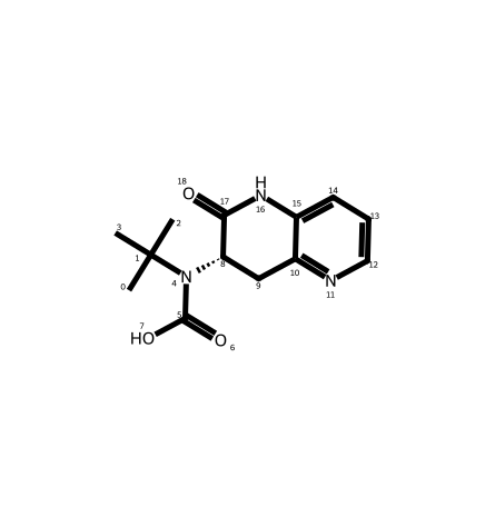 CC(C)(C)N(C(=O)O)[C@H]1Cc2ncccc2NC1=O